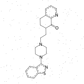 O=C1c2ncccc2CCC1CCN1CCN(c2nsc3ccccc23)CC1